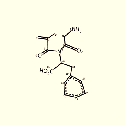 C=C(C)C(=O)N(C(=O)CN)C(Cc1ccccc1)C(=O)O